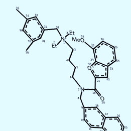 CC[N+](CC)(CCCCN(Cc1ccc2ccccc2c1)C(=O)c1cc2cccc(OC)c2o1)Cc1cc(C)cc(C)c1